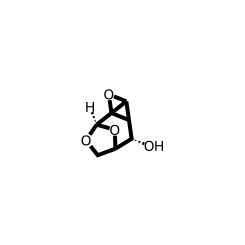 O[C@@H]1C2CO[C@H](O2)C23OC2C13